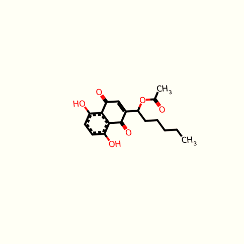 CCCCCC(OC(C)=O)C1=CC(=O)c2c(O)ccc(O)c2C1=O